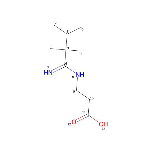 CC(C)C(C)(C)C(=N)NCCC(=O)O